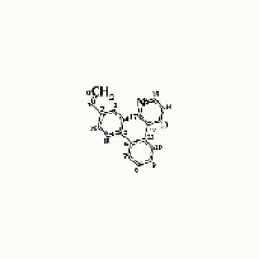 C=Cc1ccc(-c2ccccc2-c2cccnc2)cc1